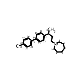 CC(CCN1CCCCCC1)c1ccc(-c2ccc(Cl)cc2)cc1